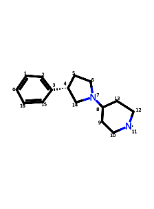 c1ccc([C@@H]2CCN(C3CC[N]CC3)C2)cc1